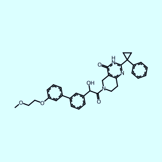 COCCOc1cccc(-c2cccc(C(O)C(=O)N3CCc4nc(C5(c6ccccc6)CC5)[nH]c(=O)c4C3)c2)c1